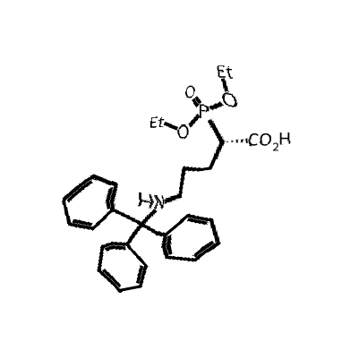 CCOP(=O)(OCC)[C@@H](CCCNC(c1ccccc1)(c1ccccc1)c1ccccc1)C(=O)O